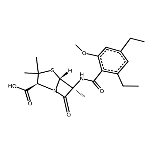 CCc1cc(CC)c(C(=O)N[C@@]2(C)C(=O)N3[C@@H](C(=O)O)C(C)(C)S[C@@H]32)c(OC)c1